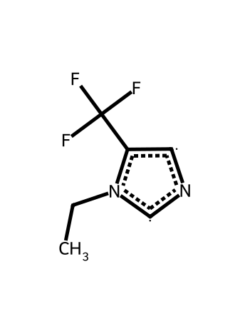 CCn1[c]n[c]c1C(F)(F)F